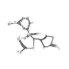 CC(=O)OC(C1CCC(=O)C1)S(=O)(=O)c1cccc(Br)c1